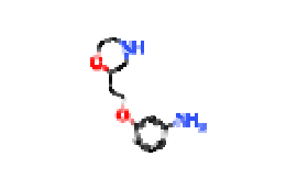 Nc1cccc(OCCC2CNCCO2)c1